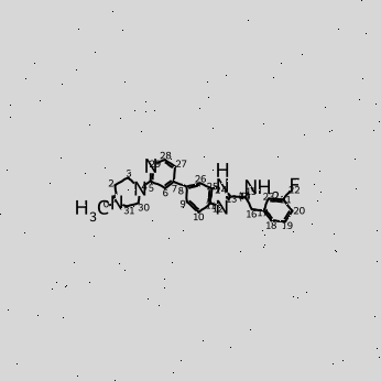 CN1CCN(c2cc(-c3ccc4nc([C@H](N)Cc5cccc(F)c5)[nH]c4c3)ccn2)CC1